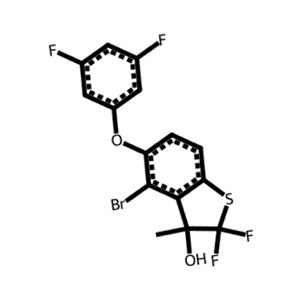 CC1(O)c2c(ccc(Oc3cc(F)cc(F)c3)c2Br)SC1(F)F